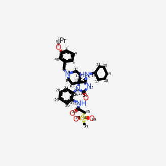 CC(C)Oc1cccc(CN2CCC3(CC2)C(NC2CCCCC2)=NC(=O)N3c2ccccc2NC(=O)CS(C)(=O)=O)c1